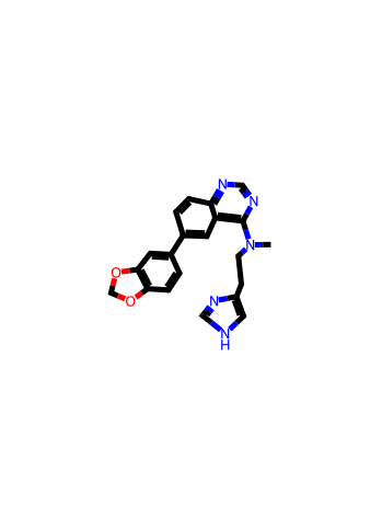 CN(CCc1c[nH]cn1)c1ncnc2ccc(-c3ccc4c(c3)OCO4)cc12